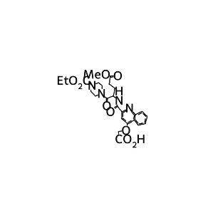 CCOC(=O)N1CCN(C(=O)C(CCC(=O)OC)NC(=O)c2cc(OCC(=O)O)c3ccccc3n2)CC1